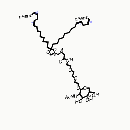 CCCCC/C=C\C/C=C\CCCCCCCCC1(CCCCCCCC/C=C\C/C=C\CCCCC)OC[C@H](CN(C)CC(=O)NCCOCCOCCO[C@@H]2OCC(CO)[C@H](O)C(O)C2NC(C)=O)O1